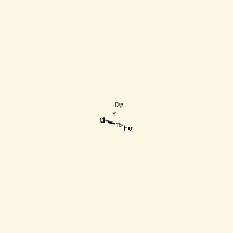 [Cl][Tb].[Dy].[Ho].[Y]